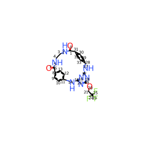 O=C1NCCNC(=O)c2ccc(cc2)Nc2nc(nc(OCC(F)(F)F)n2)Nc2ccc1cc2